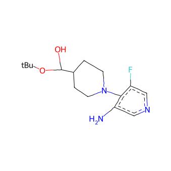 CC(C)(C)OC(O)C1CCN(c2c(N)cncc2F)CC1